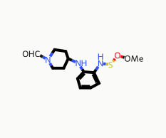 COOSNc1ccccc1NC1CCN(C=O)CC1